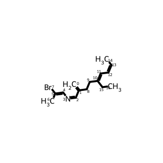 C=C(/C=N\C=C(/C)Br)CC/C(=C/C=C\C)CC